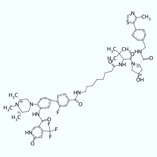 Cc1ncsc1-c1ccc(CNC(=O)[C@@H]2C[C@@H](O)CN2C(=O)C(NC(=O)CCCCCCCNC(=O)c2ccc(-c3ccc(N4C[C@@H](C)N(C)[C@@H](C)C4)c(NC(=O)c4c[nH]c(=O)cc4C(F)(F)F)c3)c(F)c2)C(C)(C)C)cc1